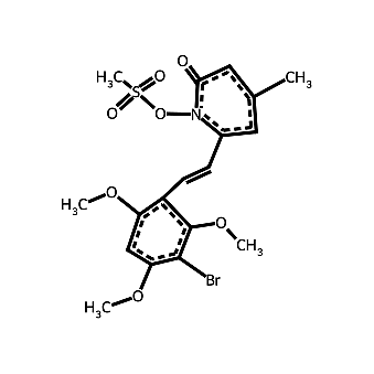 COc1cc(OC)c(C=Cc2cc(C)cc(=O)n2OS(C)(=O)=O)c(OC)c1Br